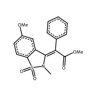 COC(=O)C(=C1c2cc(OC)ccc2S(=O)(=O)N1C)c1ccccc1